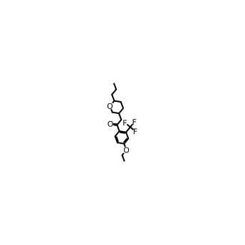 CCCC1CCC(CC(=O)c2ccc(OCC)cc2C(F)(F)F)CO1